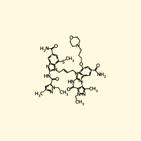 CCn1nc(C)cc1C(=O)Nc1nc2cc(C(N)=O)cc(SC)c2n1C/C=C/Cn1c(NC(=O)c2c(F)c(C)nn2CC)nc2cc(C(N)=O)cc(OCCCN3CCOCC3)c21